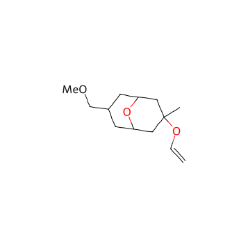 C=COC1(C)CC2CC(COC)CC(C1)O2